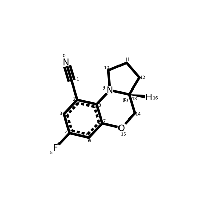 N#Cc1cc(F)cc2c1N1CCC[C@@H]1CO2